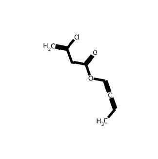 C=C(Cl)CC(=O)OC=C=CC